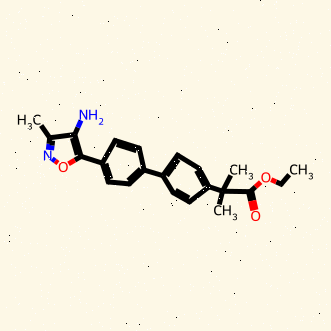 CCOC(=O)C(C)(C)c1ccc(-c2ccc(-c3onc(C)c3N)cc2)cc1